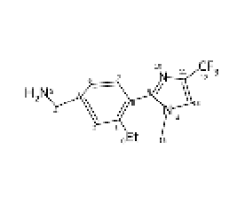 CCc1cc(CN)ccc1-c1nc(C(F)(F)F)cn1C